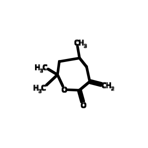 C=C1CC(C)CC(C)(C)OC1=O